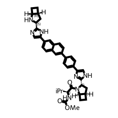 COC(=O)N[C@H](C(=O)N1[C@@H]2CC[C@@H]2C[C@H]1c1nc(-c2ccc(-c3ccc4cc(-c5cnc([C@@H]6C[C@H]7CC[C@H]7N6)[nH]5)ccc4c3)cc2)c[nH]1)C(C)C